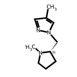 Cc1cnn(C[C@@H]2CCCN2C)c1